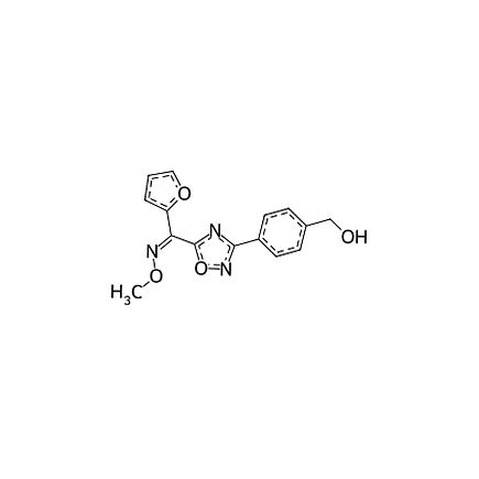 CO/N=C(/c1ccco1)c1nc(-c2ccc(CO)cc2)no1